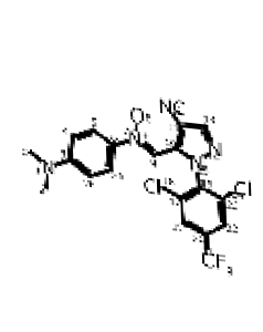 CN(C)c1ccc([N+]([O-])=Cc2c(C#N)cnn2-c2c(Cl)cc(C(F)(F)F)cc2Cl)cc1